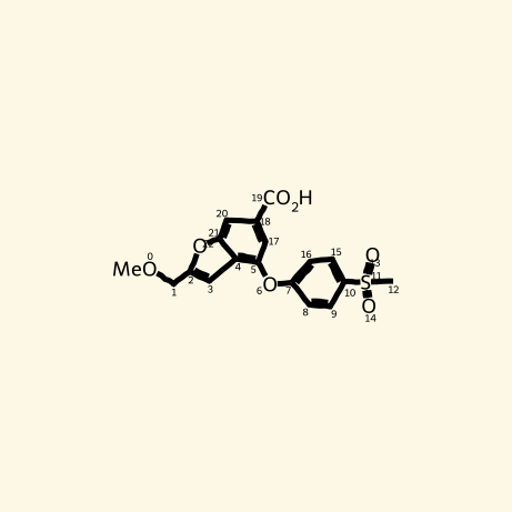 COCc1cc2c(Oc3ccc(S(C)(=O)=O)cc3)cc(C(=O)O)cc2o1